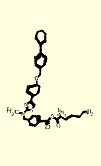 CN(Cc1ccc(C(=O)OC(=O)[C@@H](N)CCCCN)cc1)c1nc(-c2ccc(OCc3ccc(C4CCCCC4)cc3)cc2)cs1